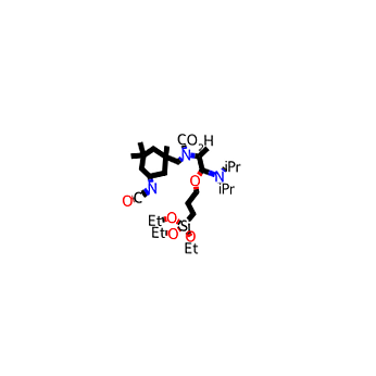 CCO[Si](CCCOC(C(C)N(CC1(C)CC(N=C=O)CC(C)(C)C1)C(=O)O)N(C(C)C)C(C)C)(OCC)OCC